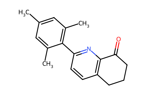 Cc1cc(C)c(-c2ccc3c(n2)C(=O)CCC3)c(C)c1